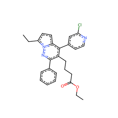 CCOC(=O)CCCc1c(-c2ccccc2)nn2c(CC)ccc2c1-c1ccnc(Cl)c1